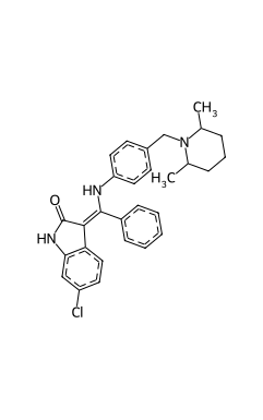 CC1CCCC(C)N1Cc1ccc(N/C(=C2\C(=O)Nc3cc(Cl)ccc32)c2ccccc2)cc1